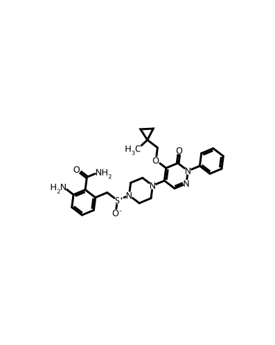 CC1(COc2c(N3CCN([S+]([O-])Cc4cccc(N)c4C(N)=O)CC3)cnn(-c3ccccc3)c2=O)CC1